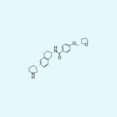 O=C(N[C@H]1CCc2cc([C@H]3CCCNC3)ccc2C1)c1ccc(OC[C@@H]2CCCO2)cc1